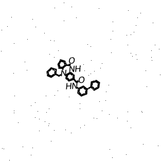 O=C(Nc1cccc(-c2ccccc2)c1)c1ccc2c(c1)NC(=O)c1ccccc1N2Cc1ccccc1